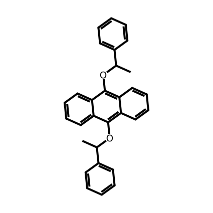 CC(Oc1c2ccccc2c(OC(C)c2ccccc2)c2ccccc12)c1ccccc1